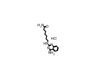 Cl.NC(=O)CCCCCCNc1nc(N)c2ccccc2n1